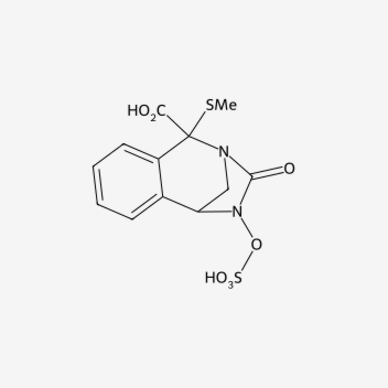 CSC1(C(=O)O)c2ccccc2C2CN1C(=O)N2OS(=O)(=O)O